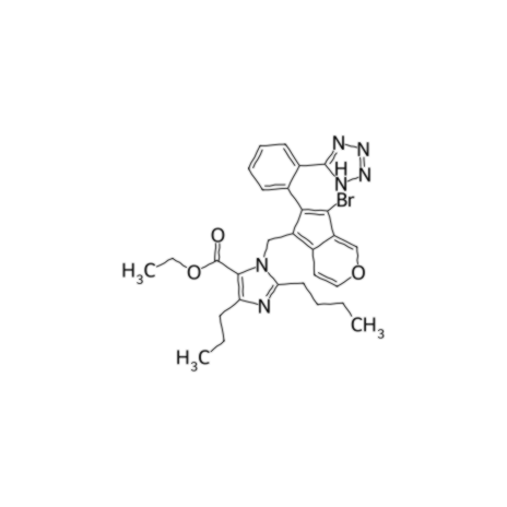 CCCCc1nc(CCC)c(C(=O)OCC)n1Cc1c2ccocc-2c(Br)c1-c1ccccc1-c1nnn[nH]1